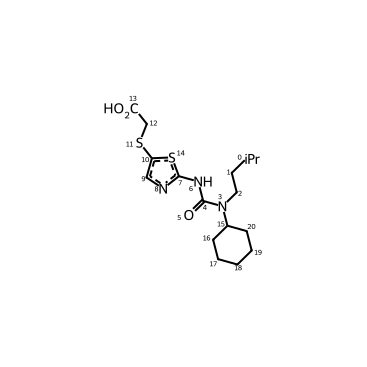 CC(C)CCN(C(=O)Nc1ncc(SCC(=O)O)s1)C1CCCCC1